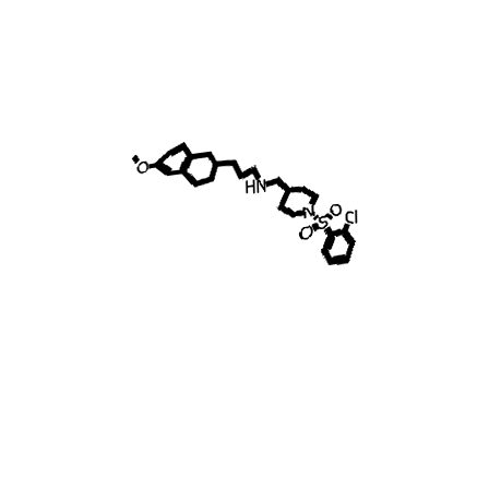 COc1ccc2c(c1)CCC(CCCNCC1CCN(S(=O)(=O)c3ccccc3Cl)CC1)C2